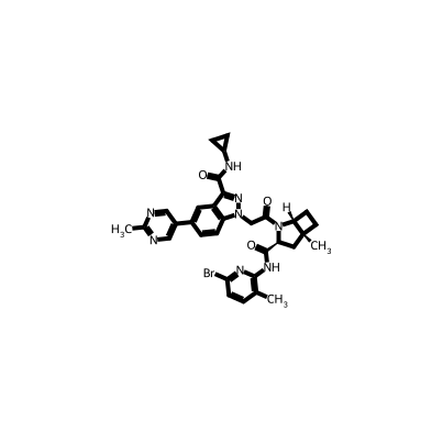 Cc1ncc(-c2ccc3c(c2)c(C(=O)NC2CC2)nn3CC(=O)N2[C@H](C(=O)Nc3nc(Br)ccc3C)C[C@@]3(C)CC[C@@H]23)cn1